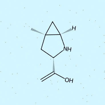 C=C(O)[C@@H]1C[C@@]2(C)C[C@H]2N1